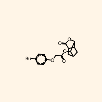 CCC(C)c1ccc(OCC(=O)OC2C3CC4C(=O)OC2C4C3)cc1